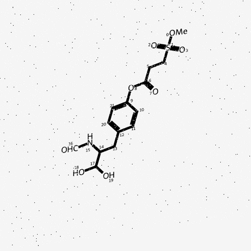 COS(=O)(=O)CCC(=O)Oc1ccc(CC(NC=O)C(O)O)cc1